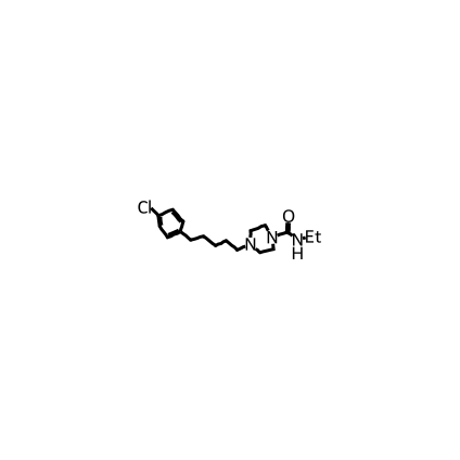 CCNC(=O)N1CCN(CCCCCc2ccc(Cl)cc2)CC1